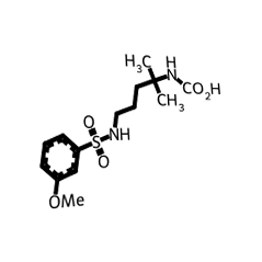 COc1cccc(S(=O)(=O)NCCCC(C)(C)NC(=O)O)c1